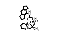 CC(C)(CN1CCCCC1)CS(=O)(=O)NC(=O)Nc1c2c(cc3c1CCC3)CCC2